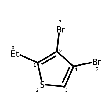 CCc1scc(Br)c1Br